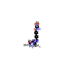 CCS(=O)(=O)N1CCC(NC(=O)c2ccc(-c3ccc(-c4cnc([C@@H]5C[Si](C)(C)CN5C(=O)[C@@H](NC(=O)OC)C(C)C)[nH]4)cc3)cc2)CC1